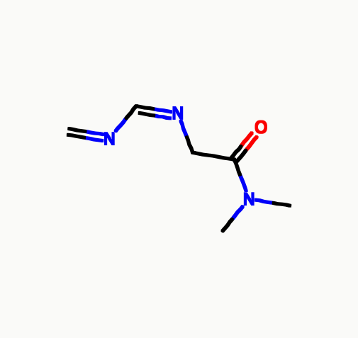 C=N/C=N\CC(=O)N(C)C